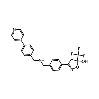 OC1(C(F)(F)F)CC(c2ccc(CNCc3ccc(-c4ccncc4)cc3)cc2)=NO1